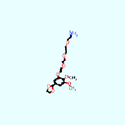 COc1cc(C2OCCO2)cc(OCCOCCOCCOCCN)c1OC